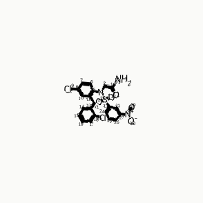 NC(=O)CN(c1ccc(Cl)cc1Cc1ccccc1Cl)S(=O)(=O)c1cccc([N+](=O)[O-])c1